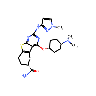 Cn1ccc(Nc2nc(O[C@H]3CC[C@H](N(C)C)CC3)c3c4c(sc3n2)CC[C@@H](C(N)=O)C4)n1